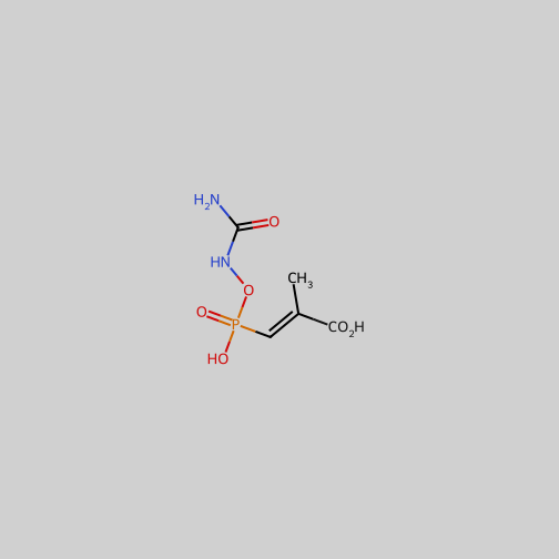 CC(=CP(=O)(O)ONC(N)=O)C(=O)O